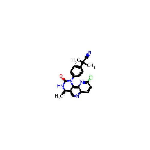 C=C1NC(=O)N(c2ccc(C(C)(C)C#N)cc2)c2c1cnc1ccc(Cl)nc21